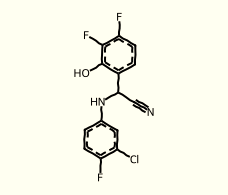 N#CC(Nc1ccc(F)c(Cl)c1)c1ccc(F)c(F)c1O